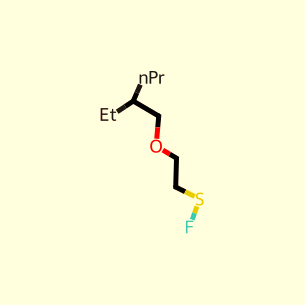 CCCC(CC)COCCSF